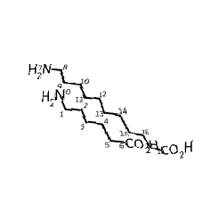 NCCCCCC(=O)O.NCCCCCCCCCCC(=O)O